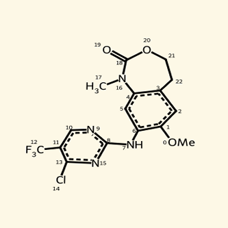 COc1cc2c(cc1Nc1ncc(C(F)(F)F)c(Cl)n1)N(C)C(=O)OCC2